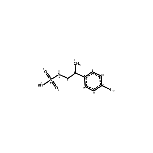 CCCS(=O)(=O)NCC(C)c1ccc(I)cc1